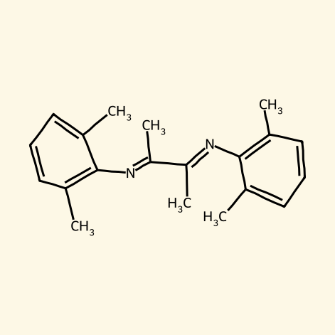 CC(=Nc1c(C)cccc1C)C(C)=Nc1c(C)cccc1C